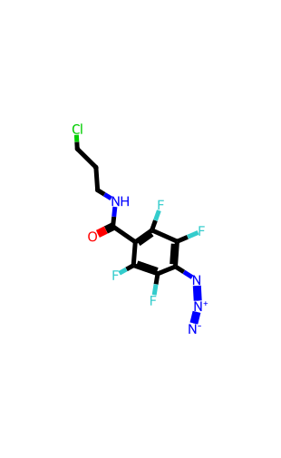 [N-]=[N+]=Nc1c(F)c(F)c(C(=O)NCCCCl)c(F)c1F